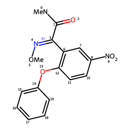 CNC(=O)/C(=N/OC)c1cc([N+](=O)[O-])ccc1Oc1ccccc1